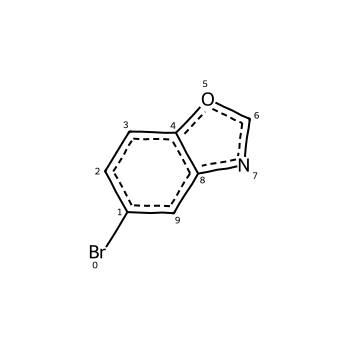 Brc1ccc2ocnc2c1